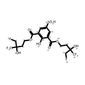 O=C(OCCC(O)(CF)C(F)(F)F)c1cc(S(=O)(=O)O)cc(C(=O)OCCC(O)(CF)C(F)(F)F)c1O